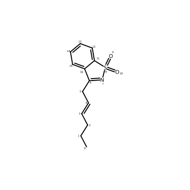 CCCC=CCC1=NS(=O)(=O)c2ccccc21